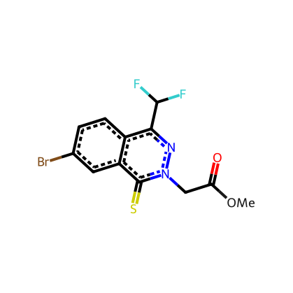 COC(=O)Cn1nc(C(F)F)c2ccc(Br)cc2c1=S